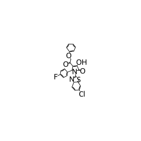 O=C(COc1ccccc1)C1=C(O)C(=O)N(C2=NC3C=CC(Cl)=CC3S2)C1c1ccc(F)cc1